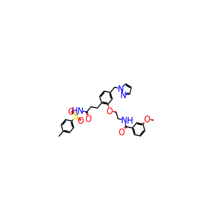 COc1cccc(C(=O)NCCOc2cc(Cn3cccn3)ccc2CCC(=O)NS(=O)(=O)c2ccc(C)cc2)c1